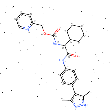 Cc1n[nH]c(C)c1-c1ccc(NC(=O)C(NC(=O)OCc2ccccn2)C2CCCCC2)cc1